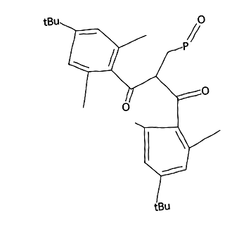 Cc1cc(C(C)(C)C)cc(C)c1C(=O)C(CP=O)C(=O)c1c(C)cc(C(C)(C)C)cc1C